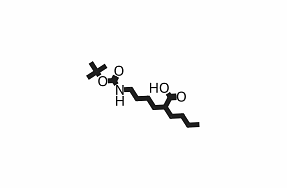 CCCCC(CCCCNC(=O)OC(C)(C)C)C(=O)O